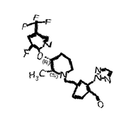 C[C@H]1[C@H](Oc2ncc(C(F)(F)F)cc2F)CCCN1Cc1ccc(C=O)c(-n2nccn2)c1